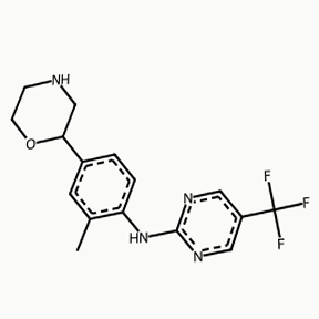 Cc1cc(C2CNCCO2)ccc1Nc1ncc(C(F)(F)F)cn1